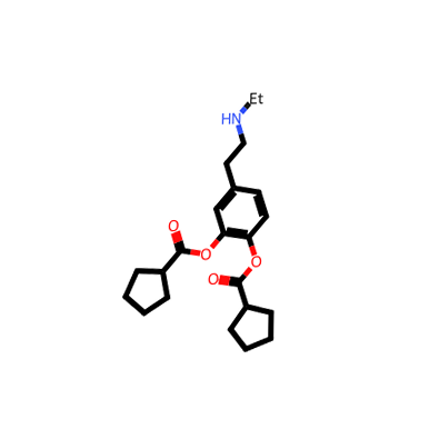 CCNCCc1ccc(OC(=O)C2CCCC2)c(OC(=O)C2CCCC2)c1